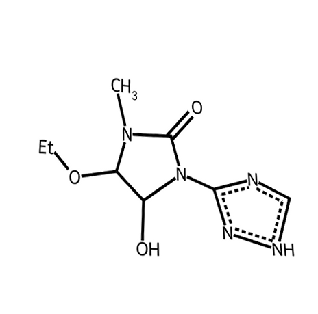 CCOC1C(O)N(c2nc[nH]n2)C(=O)N1C